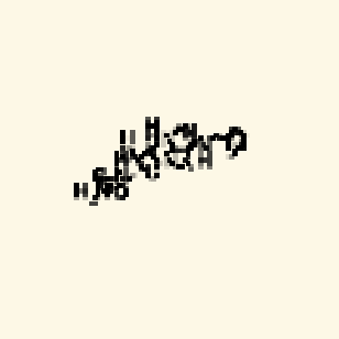 NS(=O)(=O)NC[C@H]1O[C@@H](n2cnc3c(NCc4cccs4)ncnc32)[C@H](O)[C@@H]1O